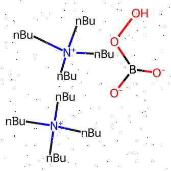 CCCC[N+](CCCC)(CCCC)CCCC.CCCC[N+](CCCC)(CCCC)CCCC.[O-]B([O-])OO